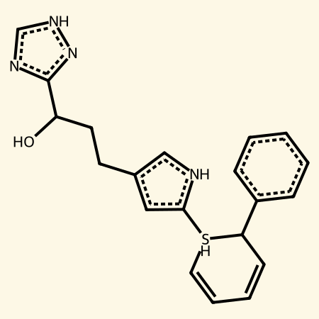 OC(CCc1c[nH]c([SH]2C=CC=CC2c2ccccc2)c1)c1nc[nH]n1